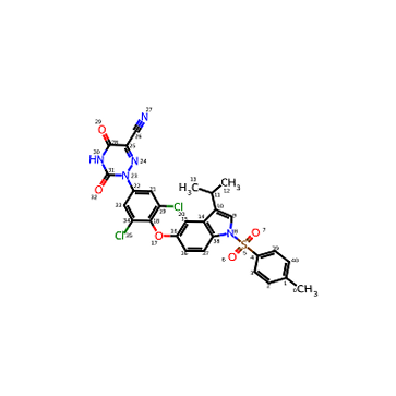 Cc1ccc(S(=O)(=O)n2cc(C(C)C)c3cc(Oc4c(Cl)cc(-n5nc(C#N)c(=O)[nH]c5=O)cc4Cl)ccc32)cc1